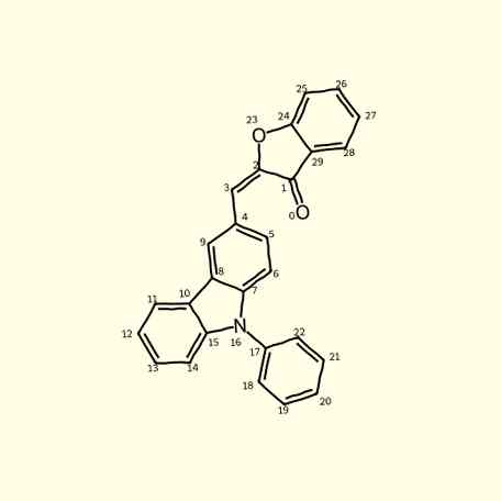 O=C1/C(=C\c2ccc3c(c2)c2ccccc2n3-c2ccccc2)Oc2ccccc21